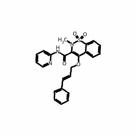 CN1C(C(=O)Nc2ccccn2)=C(OCC=Cc2ccccc2)c2ccccc2S1(=O)=O